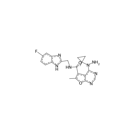 Cc1oc2ncnc(N(N)C3(C)CC3)c2c1C(=O)NCc1nc2cc(F)ccc2[nH]1